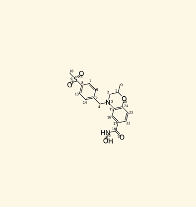 CC1CN(Cc2ccc(S(C)(=O)=O)cc2)c2cc(C(=O)NO)ccc2O1